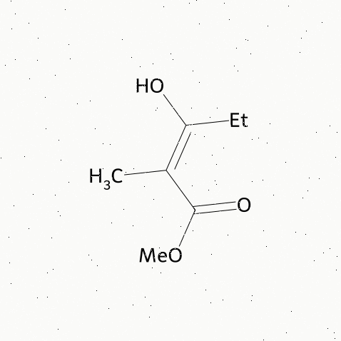 CC/C(O)=C(/C)C(=O)OC